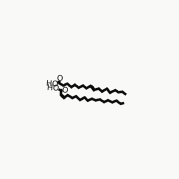 CCCCCCCC/C=C/CCCCCCCC(=O)O.CCCCCCCCCCCCCCC/C=C\C(=O)O